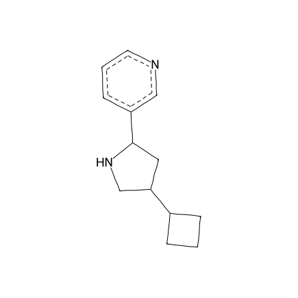 c1cncc(C2CC(C3CCC3)CN2)c1